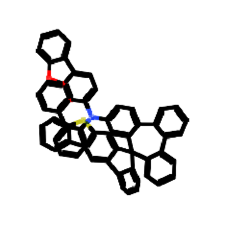 c1ccc(-c2ccccc2N(c2ccc3c(c2)C2(c4ccccc4-c4ccccc4-3)c3ccccc3-c3cc4c(cc32)sc2ccccc24)c2ccc3c(c2)oc2ccccc23)cc1